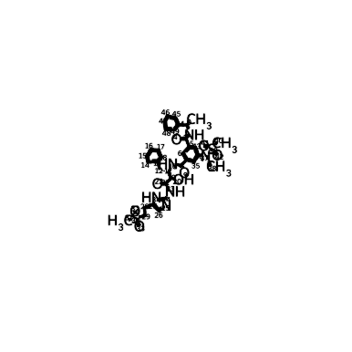 C[C@@H](NC(=O)c1cc(C(=O)N[C@@H](Cc2ccccc2)[C@@H](O)C(=O)Nc2ncc(CCS(C)(=O)=O)[nH]2)cc(N(C)S(C)(=O)=O)c1)c1ccccc1